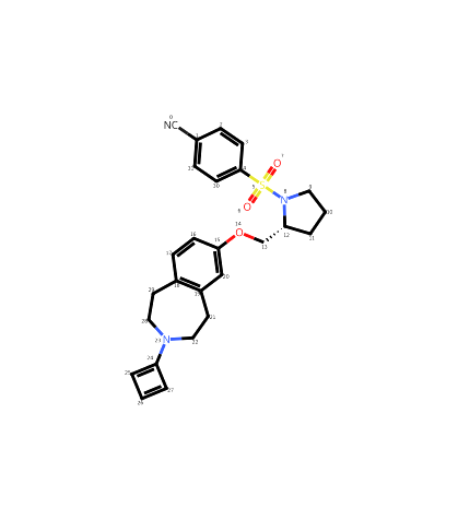 N#Cc1ccc(S(=O)(=O)N2CCC[C@@H]2COc2ccc3c(c2)CCN(C2=CC=C2)CC3)cc1